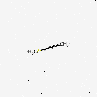 [CH2]CCCCCCCCCCCSC[CH2]